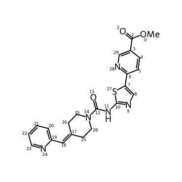 COC(=O)c1ccc(-c2cnc(NC(=O)N3CCC(=Cc4ccccn4)CC3)s2)nc1